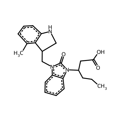 CCCC(CC(=O)O)n1c(=O)n(CC2CNc3cccc(C)c32)c2ccccc21